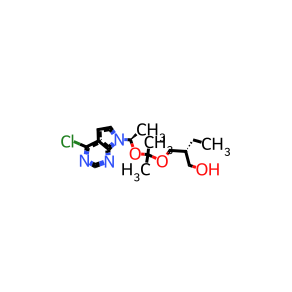 CC[C@H](CO)COC(C)(C)O[C@H](C)n1ccc2c(Cl)ncnc21